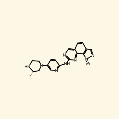 CC(C)n1ncc2ccc3cnc(Nc4ccc(N5CCN[C@@H](C)C5)cn4)nc3c21